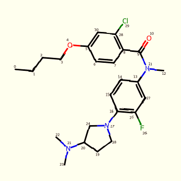 CCCCOc1ccc(C(=O)N(C)c2ccc(N3CCC(N(C)C)C3)c(F)c2)c(Cl)c1